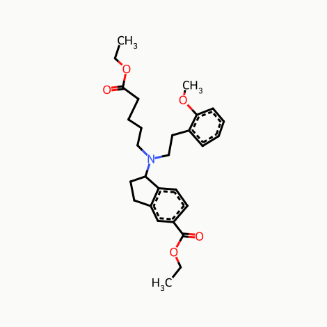 CCOC(=O)CCCCN(CCc1ccccc1OC)C1CCc2cc(C(=O)OCC)ccc21